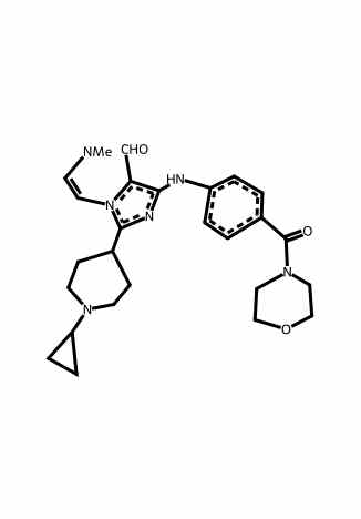 CN/C=C\n1c(C2CCN(C3CC3)CC2)nc(Nc2ccc(C(=O)N3CCOCC3)cc2)c1C=O